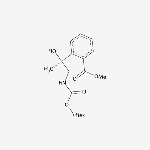 CCCCCCOC(=O)NC[C@@](C)(O)c1ccccc1C(=O)OC